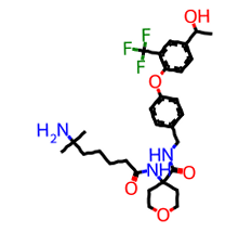 CC(O)c1ccc(Oc2ccc(CNC(=O)C3(NC(=O)CCCCC(C)(C)N)CCOCC3)cc2)c(C(F)(F)F)c1